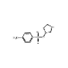 Cc1ccc(S(=O)(=O)OC2CCNC2)cc1